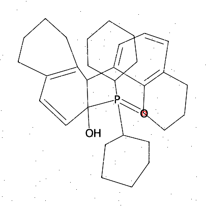 O=P(C1CCCCC1)(C1CCCCC1)C1(O)C=CC2=C(CCCC2)C1c1cccc2c1CCCC2